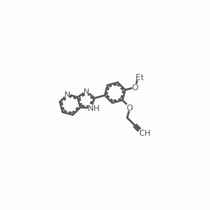 C#CCOc1cc(-c2nc3ncccc3[nH]2)ccc1OCC